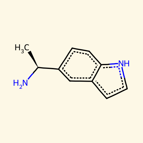 C[C@H](N)c1ccc2[nH]ccc2c1